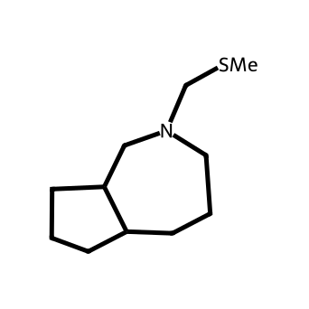 CSCN1CCCC2CCCC2C1